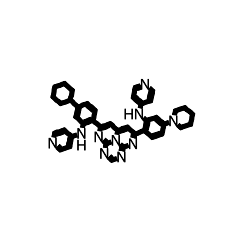 C1=NC2=NC(c3ccc(C4CCCCC4)cc3Nc3ccncc3)=CC3=CC(c4ccc(N5CCCCC5)cc4Nc4ccncc4)=NC(=N1)N32